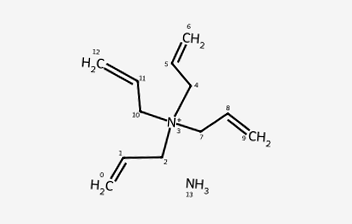 C=CC[N+](CC=C)(CC=C)CC=C.N